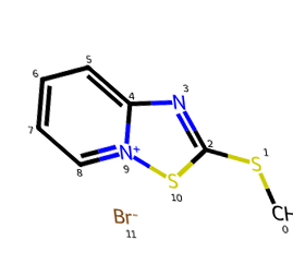 CSc1nc2cccc[n+]2s1.[Br-]